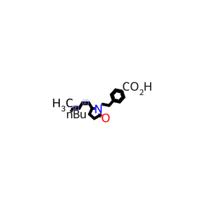 CCCC/C(C)=C/C=C\C1CCC(=O)N1CCc1ccc(C(=O)O)cc1